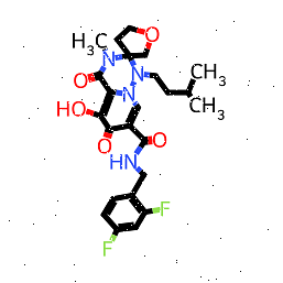 CC(C)CCN1n2cc(C(=O)NCc3ccc(F)cc3F)c(=O)c(O)c2C(=O)N(C)C12CCOC2